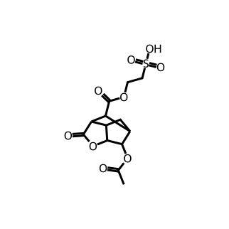 CC(=O)OC1C2CC3C1OC(=O)C3C2C(=O)OCCS(=O)(=O)O